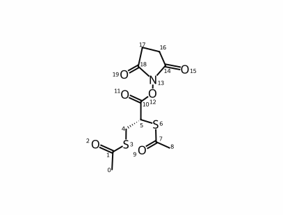 CC(=O)SC[C@@H](SC(C)=O)C(=O)ON1C(=O)CCC1=O